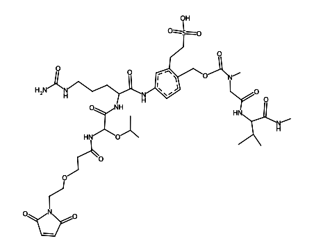 CNC(=O)C(NC(=O)CN(C)C(=O)OCc1ccc(NC(=O)C(CCCNC(N)=O)NC(=O)C(NC(=O)CCOCCN2C(=O)C=CC2=O)OC(C)C)cc1CCS(=O)(=O)O)C(C)C